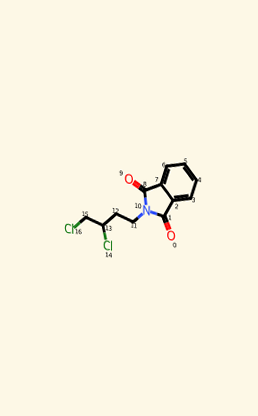 O=C1c2ccccc2C(=O)N1CCC(Cl)CCl